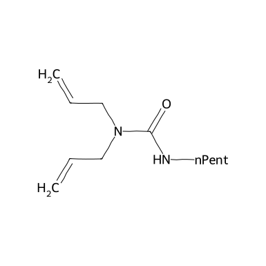 C=CCN(CC=C)C(=O)NCCCCC